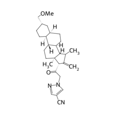 C=C1C(C)[C@H]2[C@@H]3CC[C@@H]4C[C@@H](COC)CC[C@@H]4[C@H]3CC[C@]2(C)[C@H]1C(=O)Cn1cc(C#N)cn1